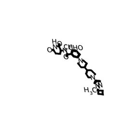 CN(C(=O)c1cc(N2CCC(C3CCN(c4cnn(C5(C)CCC5)c4)CC3)CC2)ccc1C=O)C1CCC(=O)NC1=O